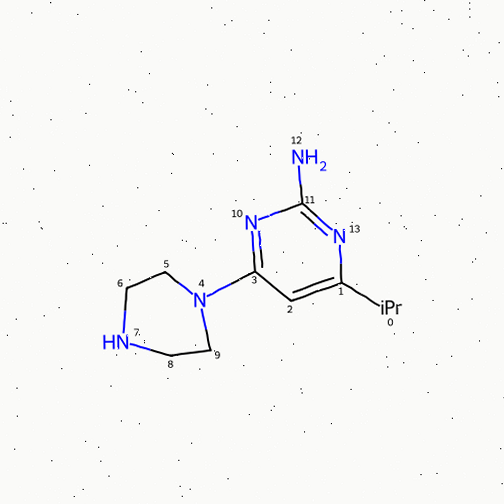 CC(C)c1cc(N2CCNCC2)nc(N)n1